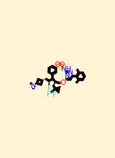 Cc1cccc(C)c1-c1cc2nc(n1)NS(=O)(=O)c1cccc(c1)C([C@@H](C)C[C@H]1C[C@H](N(C)C)C1)[C@H](CC1(C(F)(F)F)CC1)CO2